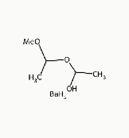 COC(C)OC(C)O.[BaH2]